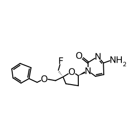 Nc1ccn([C@H]2CC[C@@](CF)(COCc3ccccc3)O2)c(=O)n1